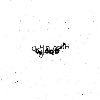 Cc1cc(N2C[C@H](CNC(=O)c3ccc(Cl)s3)CC2=O)ccc1-n1cccc(OCCNC2CC2)c1=O